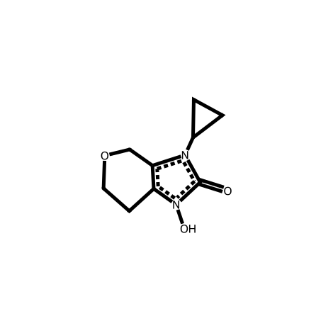 O=c1n(O)c2c(n1C1CC1)COCC2